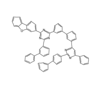 c1ccc(-c2ccc(-c3nc(-c4ccccc4)cc(-c4cccc(-c5cccc(-c6nc(-c7cccc(-c8ccccc8)c7)nc(-c7ccc8c(c7)oc7ccccc78)n6)c5)c4)n3)cc2)cc1